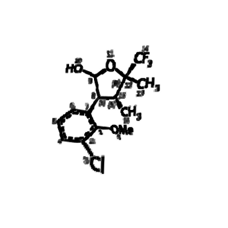 COc1c(Cl)cccc1[C@H]1C(O)O[C@@](C)(C(F)(F)F)[C@H]1C